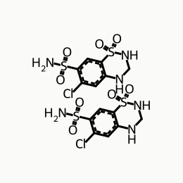 NS(=O)(=O)c1cc2c(cc1Cl)NCNS2(=O)=O.NS(=O)(=O)c1cc2c(cc1Cl)NCNS2(=O)=O